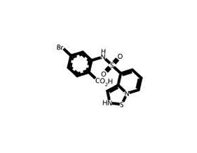 O=C(O)c1ccc(Br)cc1NS(=O)(=O)C1=CC=CN2SNC=C12